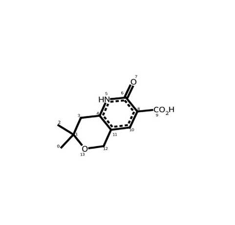 CC1(C)Cc2[nH]c(=O)c(C(=O)O)cc2CO1